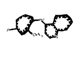 Cc1cc(F)ccc1Nc1ccnc2ccccc12